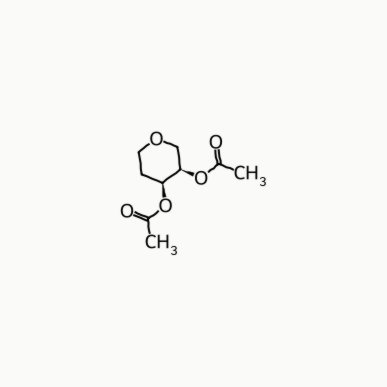 CC(=O)O[C@H]1CCOC[C@H]1OC(C)=O